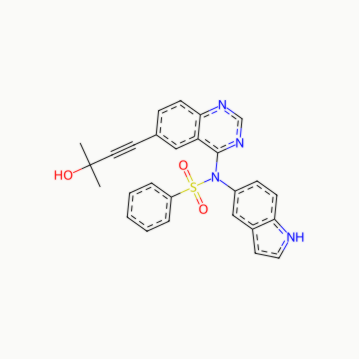 CC(C)(O)C#Cc1ccc2ncnc(N(c3ccc4[nH]ccc4c3)S(=O)(=O)c3ccccc3)c2c1